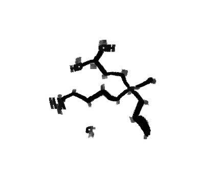 C=CC[N+](C)(CCCCN)CCC(O)O.[Cl-]